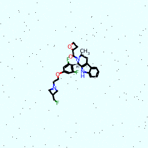 C[C@@H]1Cc2c([nH]c3ccccc23)[C@@H](c2c(F)cc(OCCN3CC(CF)C3)cc2F)N1C(=O)C1CCO1